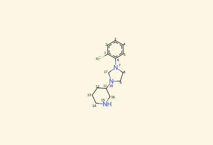 Fc1ccccc1N1CCN(C2CCCNC2)C1